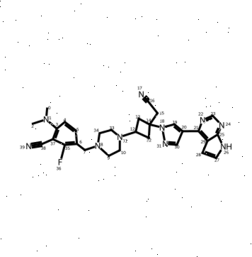 CN(C)c1ccc(CN2CCN(C3CC(CC#N)(n4cc(-c5ncnc6[nH]ccc56)cn4)C3)CC2)c(F)c1C#N